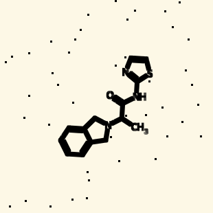 CC(C(=O)Nc1nccs1)N1Cc2ccccc2C1